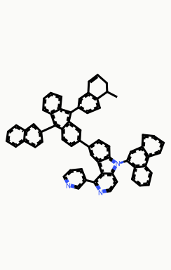 CC1CC=Cc2cc(-c3c4ccccc4c(-c4ccc5ccccc5c4)c4ccc(-c5ccc6c(c5)c5c(-c7cccnc7)nccc5n6-c5cc6ccccc6c6ccccc56)cc34)ccc21